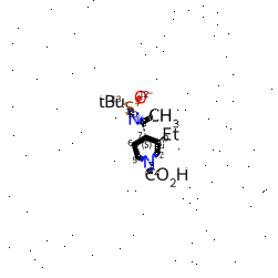 CC[C@@H]1CN(C(=O)O)CC[C@@H]1/C(C)=N/[S+]([O-])C(C)(C)C